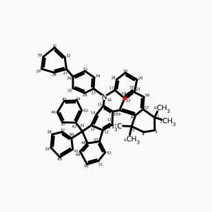 CC1(C)CCC(C)(C)c2c(-c3cc4c(cc3N(c3ccccc3)c3ccc(-c5ccccc5)cc3)C(c3ccccc3)(c3ccccc3)c3ccccc3-4)cccc21